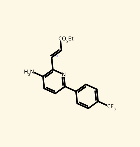 CCOC(=O)/C=C/c1nc(-c2ccc(C(F)(F)F)cc2)ccc1N